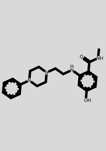 CNC(=O)c1ccc(O)cc1NCCN1CCN(c2ccccc2)CC1